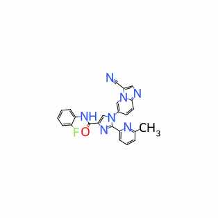 Cc1cccc(-c2nc(C(=O)Nc3ccccc3F)cn2-c2ccc3ncc(C#N)n3c2)n1